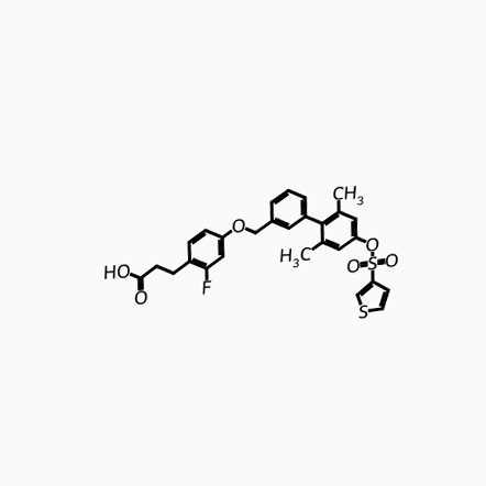 Cc1cc(OS(=O)(=O)c2ccsc2)cc(C)c1-c1cccc(COc2ccc(CCC(=O)O)c(F)c2)c1